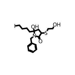 O=C1C(SCCO)CC(O)(CCCCI)N1Cc1ccccc1